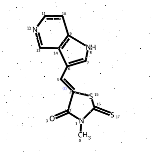 CN1C(=O)/C(=C/c2c[nH]c3ccncc23)SC1=S